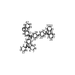 c1ccc(-n2c3ccccc3c3cc(N(c4ccc(-c5ccc(-n6c7ccccc7c7ccccc76)cc5)cc4)c4ccc5oc6ccccc6c5c4)ccc32)cc1